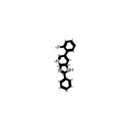 Fc1ccccc1-c1cnc2nc(-c3ccccc3)[nH]c2c1